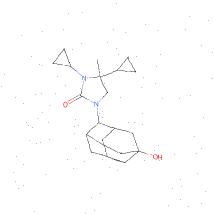 CC1(C2CC2)CN(C2C3CC4CC2CC(O)(C4)C3)C(=O)N1C1CC1